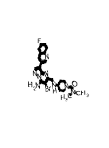 CN(C)C(=O)N1CCC(NCc2nc3c(-c4cnc5ccc(F)cc5c4)cnn3c(N)c2Br)CC1